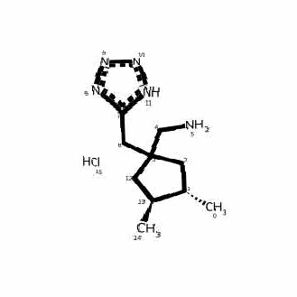 C[C@H]1CC(CN)(Cc2nnn[nH]2)C[C@@H]1C.Cl